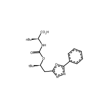 CCCC[C@H](NC(=O)O[C@@H](Cc1nnc(-c2ccccc2)o1)C(C)(C)C)C(=O)O